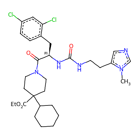 CCOC(=O)C1(C2CCCCC2)CCN(C(=O)[C@@H](Cc2ccc(Cl)cc2Cl)NC(=O)NCCc2cncn2C)CC1